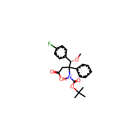 CO[C@@H](c1ccc(F)cc1)C(CC(=O)O)(c1ccccc1)N(C)C(=O)OC(C)(C)C